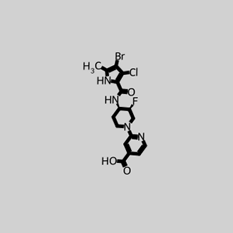 Cc1[nH]c(C(=O)N[C@@H]2CCN(c3cc(C(=O)O)ccn3)C[C@@H]2F)c(Cl)c1Br